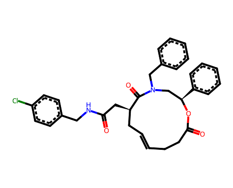 O=C(C[C@@H]1C/C=C/CCC(=O)O[C@H](c2ccccc2)CN(Cc2ccccc2)C1=O)NCc1ccc(Cl)cc1